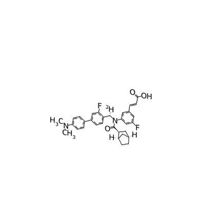 [2H][C@@H](c1ccc(-c2ccc(N(C)C)cc2)cc1F)N(C(=O)[C@H]1C[C@H]2CC[C@@H]1C2)c1cc(F)cc(/C=C/C(=O)O)c1